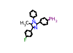 CC1C(c2ccc(F)cc2)=NC(c2ccc(P)cc2)N1c1ccccc1